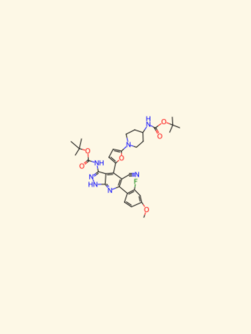 COc1ccc(-c2nc3[nH]nc(NC(=O)OC(C)(C)C)c3c(-c3ccc(N4CCC(NC(=O)OC(C)(C)C)CC4)o3)c2C#N)c(F)c1